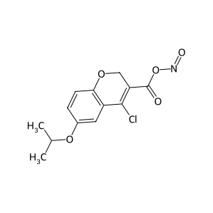 CC(C)Oc1ccc2c(c1)C(Cl)=C(C(=O)ON=O)CO2